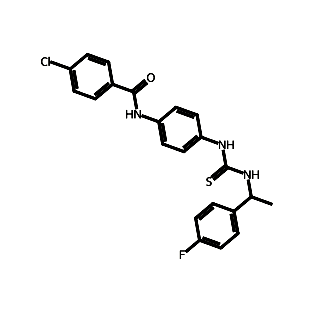 CC(NC(=S)Nc1ccc(NC(=O)c2ccc(Cl)cc2)cc1)c1ccc(F)cc1